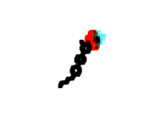 CCCCCC1CCC(c2ccc(-c3ccc(OS(=O)(=O)C(F)(F)F)c(C)c3)cc2)CC1